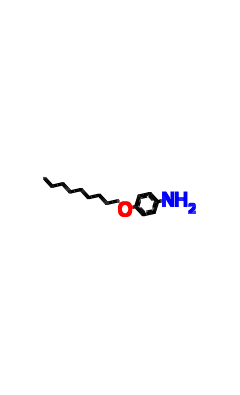 CCCCCCCCCOc1ccc(N)cc1